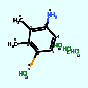 Cc1c(N)ccc([P])c1C.Cl.Cl.Cl.Cl